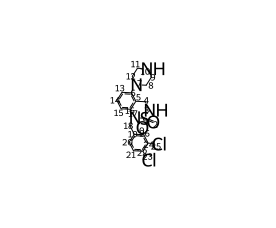 O=S1(=O)NCc2c(N3CCNCC3)cccc2N1Cc1ccc(Cl)c(Cl)c1